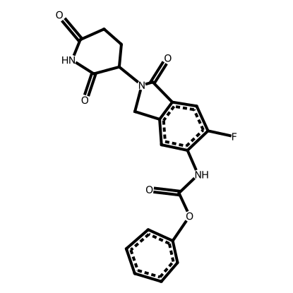 O=C1CCC(N2Cc3cc(NC(=O)Oc4ccccc4)c(F)cc3C2=O)C(=O)N1